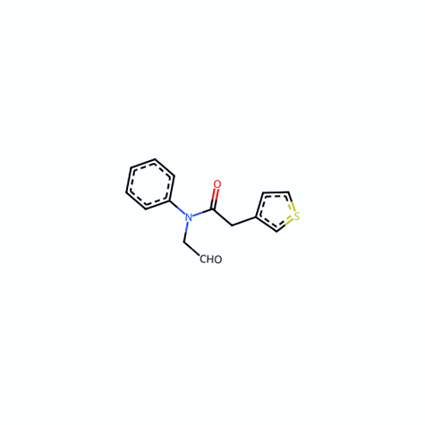 O=CCN(C(=O)Cc1ccsc1)c1ccccc1